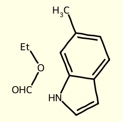 CCOC=O.Cc1ccc2cc[nH]c2c1